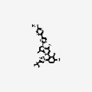 CC1C[C@H](c2nc(-c3cnc(N)cn3)c[nH]2)n2c1nc(-c1c(-n3cc(C(F)(F)F)nn3)ccc(Cl)c1F)cc2=O